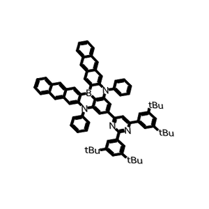 CC(C)(C)c1cc(-c2cc(-c3cc4c5c(c3)N(c3ccccc3)c3cc6cc7ccccc7cc6cc3B5c3cc5cc6ccccc6cc5cc3N4c3ccccc3)nc(-c3cc(C(C)(C)C)cc(C(C)(C)C)c3)n2)cc(C(C)(C)C)c1